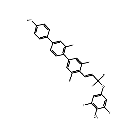 CCCc1ccc(-c2ccc(-c3cc(F)c(/C=C/C(F)(F)Oc4cc(F)c(C(F)(F)F)c(F)c4)c(F)c3)c(F)c2)cc1